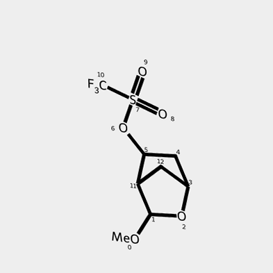 COC1OC2CC(OS(=O)(=O)C(F)(F)F)C1C2